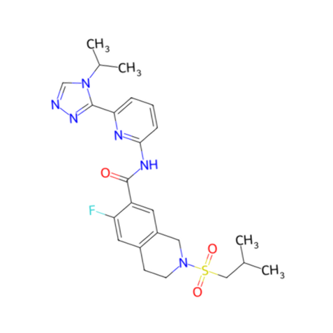 CC(C)CS(=O)(=O)N1CCc2cc(F)c(C(=O)Nc3cccc(-c4nncn4C(C)C)n3)cc2C1